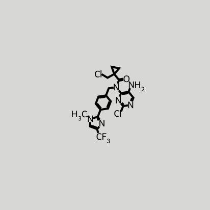 Cn1cc(C(F)(F)F)nc1-c1ccc(CN(C(=O)C2(CCl)CC2)c2nc(Cl)ncc2N)cc1